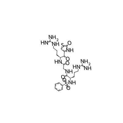 N=C(N)NCCC[C@H](NC(=O)CNC(=O)[C@@H](CCCNC(=N)N)NS(=O)(=O)c1ccccc1)C(=O)c1csc(=O)[nH]1